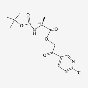 C[C@H](NC(=O)OC(C)(C)C)C(=O)OCC(=O)c1cnc(Cl)nc1